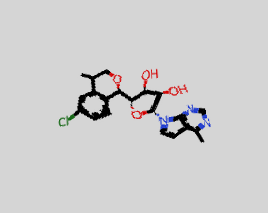 Cc1ncnc2c1ccn2[C@@H]1O[C@H]([C@@H]2OCC(C)c3cc(Cl)ccc32)[C@@H](O)[C@H]1O